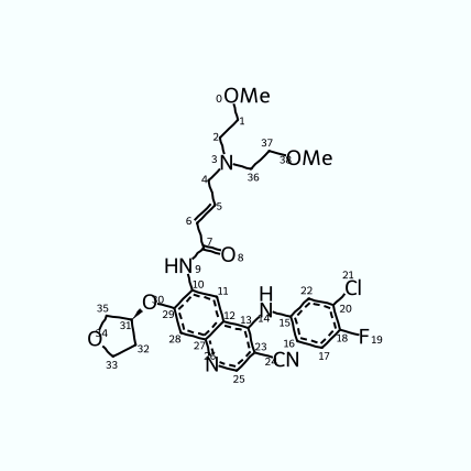 COCCN(C/C=C/C(=O)Nc1cc2c(Nc3ccc(F)c(Cl)c3)c(C#N)cnc2cc1O[C@H]1CCOC1)CCOC